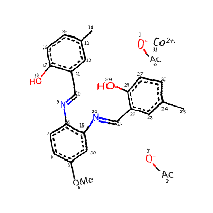 CC(=O)[O-].CC(=O)[O-].COc1ccc(N=Cc2cc(C)ccc2O)c(N=Cc2cc(C)ccc2O)c1.[Co+2]